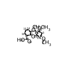 COc1cc(OC)nc(Oc2c(OC)cccc2C(=O)O)n1